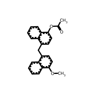 COc1ccc(Cc2ccc(OC(C)=O)c3ccccc23)c2ccccc12